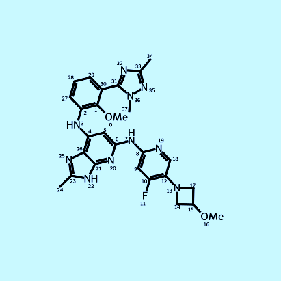 COc1c(Nc2cc(Nc3cc(F)c(N4CC(OC)C4)cn3)nc3[nH]c(C)nc23)cccc1-c1nc(C)nn1C